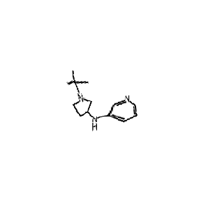 CC(C)(C)N1CCC(Nc2cccnc2)C1